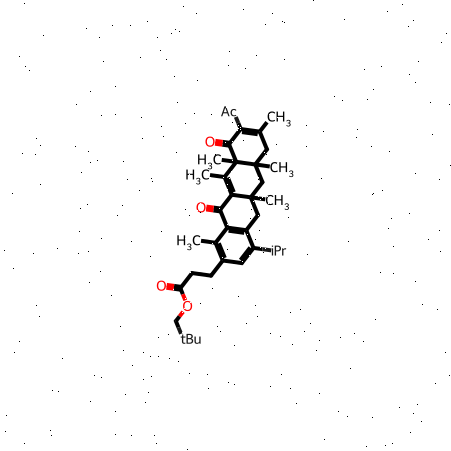 CC(=O)C1=C(C)CC2(C)CC3(C)Cc4c(C(C)C)cc(CCC(=O)OCC(C)(C)C)c(C)c4C(=O)C3=C(C)C2(C)C1=O